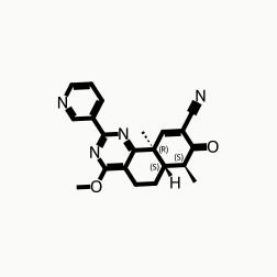 COc1nc(-c2cccnc2)nc2c1CC[C@H]1[C@H](C)C(=O)C(C#N)=C[C@]21C